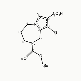 CCc1c(C(=O)O)nn2c1CN(C(=O)OC(C)(C)C)CCC2